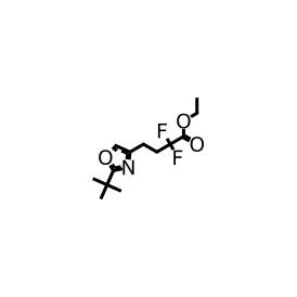 CCOC(=O)C(F)(F)CCc1coc(C(C)(C)C)n1